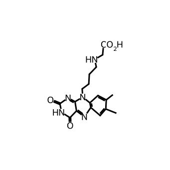 Cc1cc2nc3c(=O)[nH]c(=O)nc-3n(CCCCNCC(=O)O)c2cc1C